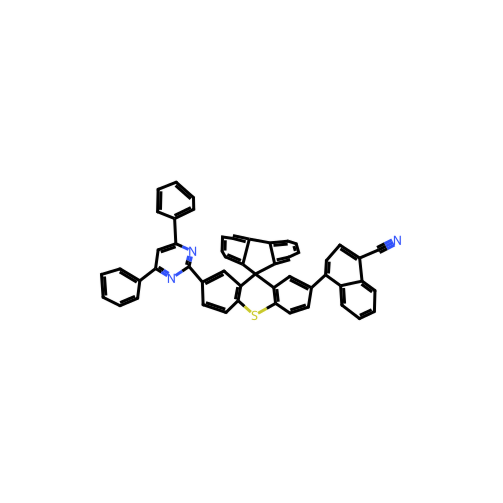 N#Cc1ccc(-c2ccc3c(c2)C2(c4cc(-c5nc(-c6ccccc6)cc(-c6ccccc6)n5)ccc4S3)c3ccccc3-c3ccccc32)c2ccccc12